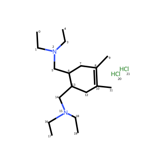 CCN(CC)CC1CC(C)=C(C)CC1CN(CC)CC.Cl.Cl